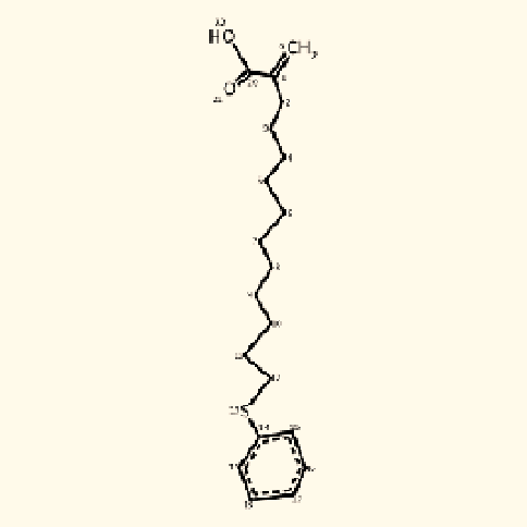 C=C(CCCCCCCCCCCSc1ccccc1)C(=O)O